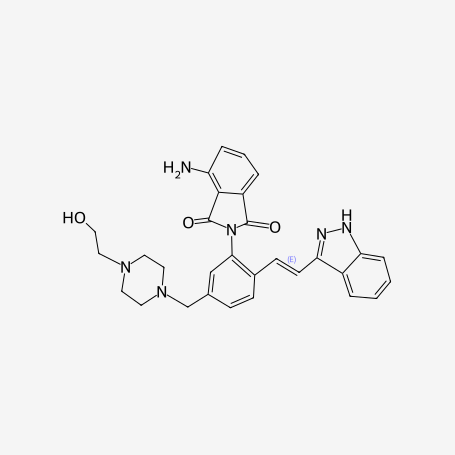 Nc1cccc2c1C(=O)N(c1cc(CN3CCN(CCO)CC3)ccc1/C=C/c1n[nH]c3ccccc13)C2=O